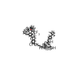 CCn1cc(-c2cc(Cn3ccn(C)c3=NC(=O)OC(C)(C)C)cc3c2OCC(Cc2ccc(Cl)c(OCCCCC(=O)N[C@H](C(=O)N4C[C@H](O)C[C@H]4C(=O)NCc4ccc(-c5scnc5C)cc4)C(C)(C)C)c2)C3=O)c(C(F)(F)F)n1